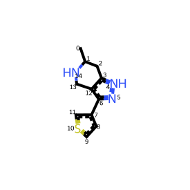 CC1Cc2[nH]nc(-c3ccsc3)c2CN1